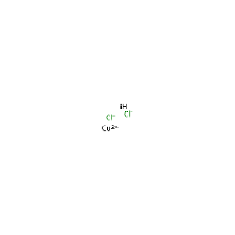 [Cl-].[Cl-].[Cu+2].[LiH]